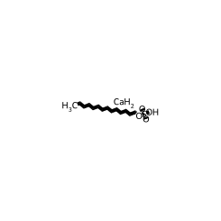 CCCCCCCCCCCCCCOS(=O)(=O)O.[CaH2]